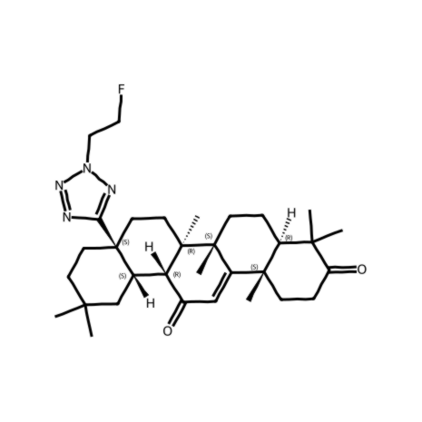 CC1(C)CC[C@]2(c3nnn(CCF)n3)CC[C@]3(C)[C@H](C(=O)C=C4[C@@]5(C)CCC(=O)C(C)(C)[C@@H]5CC[C@]43C)[C@@H]2C1